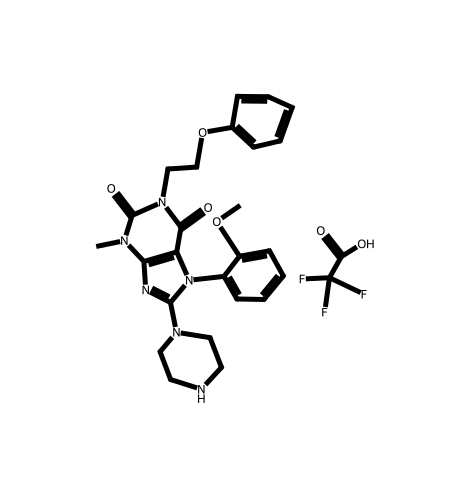 COc1ccccc1-n1c(N2CCNCC2)nc2c1c(=O)n(CCOc1ccccc1)c(=O)n2C.O=C(O)C(F)(F)F